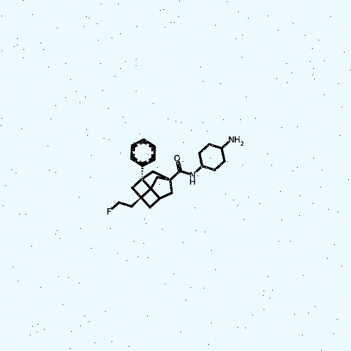 NC1CCC(NC(=O)C23CC4C[C@]5(CCF)C[C@@](c6ccccc6)(C2)C45C3)CC1